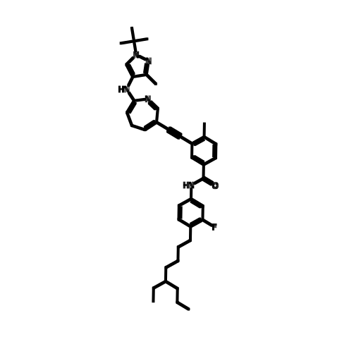 CCCC(CC)CCCCc1ccc(NC(=O)c2ccc(C)c(C#CC3=CCC=C(Nc4cn(C(C)(C)C)nc4C)N=C3)c2)cc1F